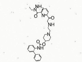 CCN(N)C(=O)c1cccc(C(=O)CNCCN2CCC(OC(=O)Nc3ccccc3-c3ccccc3)CC2)n1